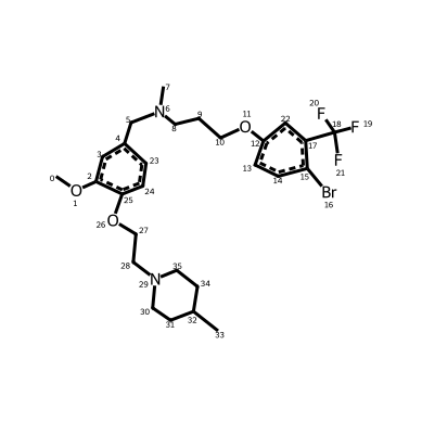 COc1cc(CN(C)CCCOc2ccc(Br)c(C(F)(F)F)c2)ccc1OCCN1CCC(C)CC1